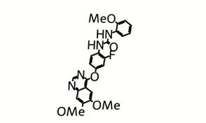 COc1ccccc1NC(=O)Nc1ccc(Oc2ncnc3cc(OC)c(OC)cc23)cc1F